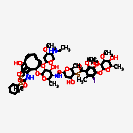 CCN[C@H]1CO[C@@H](O[C@H]2[C@H](O[C@H]3C#C/C=C/C#C[C@]4(O)CC(=O)C(NC(=O)OC)=C3/C4=C\CSSC3CCCCC3)O[C@H](C)[C@@H](NO[C@H]3C[C@H](O)[C@H](SC(=O)c4c(C)c(I)c(O[C@@H]5O[C@@H](C)[C@H](O)[C@@H](OC)[C@H]5O)c(OC)c4OC)[C@@H](C)O3)[C@@H]2O)C[C@@H]1OC